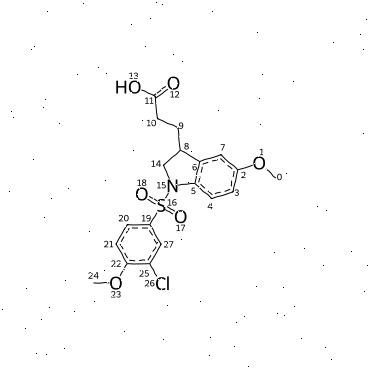 COc1ccc2c(c1)C(CCC(=O)O)CN2S(=O)(=O)c1ccc(OC)c(Cl)c1